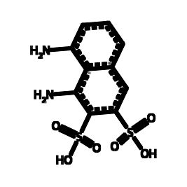 Nc1cccc2cc(S(=O)(=O)O)c(S(=O)(=O)O)c(N)c12